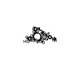 CC[C@H]1OC(=O)[C@H](C)[C@@H](O[C@H]2C[C@@](C)(OC)[C@@H](O)[C@H](C)O2)[C@H](C)[C@@H](O[C@H]2C[C@@H](N(C)CCc3cn([C@H](CF)[C@H](OC)c4ccc(-n5ccnn5)cc4)nn3)C[C@@H](C)O2)[C@](C)(OC)CCC(=O)[C@H](C)[C@H]2N(CCOC)C(=O)O[C@]12C